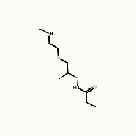 CCC(=O)NCC(F)COCCNC